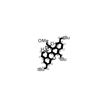 COCC(C)(C)c1c2c(c(CC(C)(C)C)c3ccc(CC(C)(C)C)cc13)Oc1cc(CC(C)(C)C)cc3cc[n+](C)c-2c13